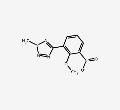 COc1c(-c2nnn(C)n2)cccc1[N+](=O)[O-]